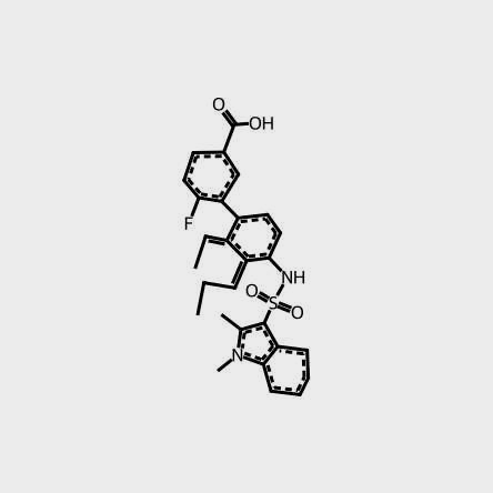 C/C=c1/c(-c2cc(C(=O)O)ccc2F)ccc(NS(=O)(=O)c2c(C)n(C)c3ccccc23)/c1=C/CC